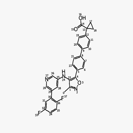 Cc1noc(-c2ccc(-c3ccc(C4(C(=O)O)CC4)cc3)cc2)c1Nc1cncc(-c2cc(F)ccc2F)c1